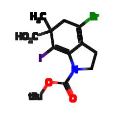 CC(C)(C)OC(=O)N1CCC2=C(Br)CC(C)(C(=O)O)C(I)=C21